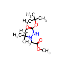 COC(=O)CN(NC(=O)OC(C)(C)C)C(C)(C)C